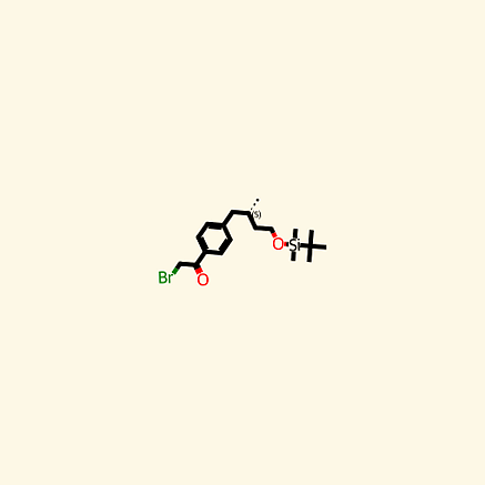 C[C@H](CCO[Si](C)(C)C(C)(C)C)Cc1ccc(C(=O)CBr)cc1